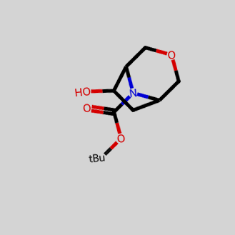 CC(C)(C)OC(=O)N1C2COCC1C(O)C2